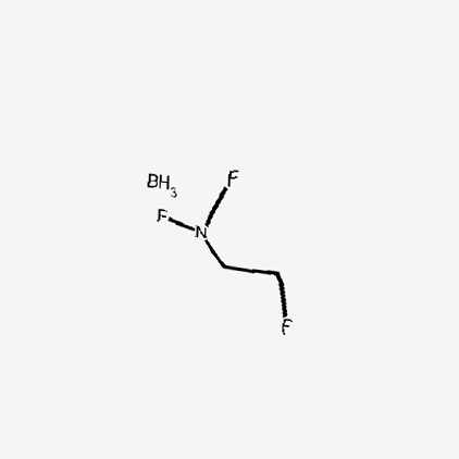 B.FCCN(F)F